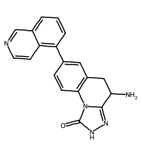 NC1Cc2cc(-c3cccc4cnccc34)ccc2-n2c1n[nH]c2=O